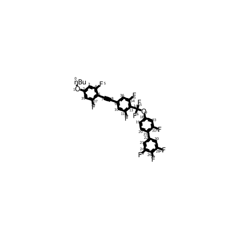 CCCCOc1cc(F)c(C#Cc2cc(F)c(C(F)(F)Oc3ccc(-c4cc(F)c(F)c(F)c4)c(F)c3)c(F)c2)c(F)c1